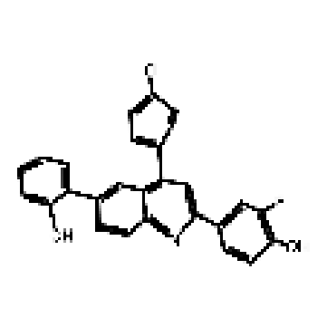 Oc1ccc(-c2cc(-c3ccc(Cl)cc3)c3cc(-c4ccccc4O)ccc3n2)cc1F